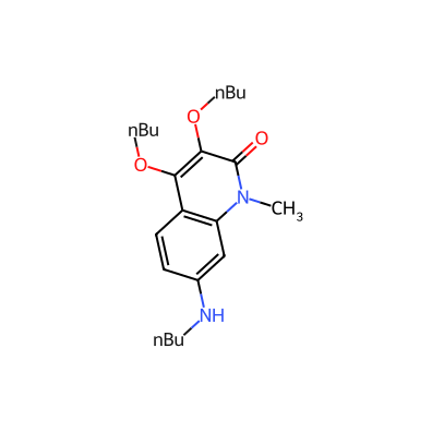 CCCCNc1ccc2c(OCCCC)c(OCCCC)c(=O)n(C)c2c1